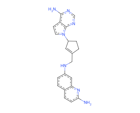 Nc1ccc2ccc(NCC3=CC(n4ccc5c(N)ncnc54)CC3)cc2n1